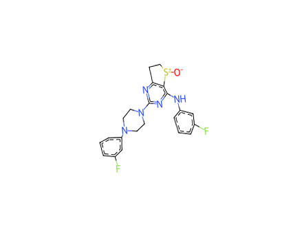 [O-][S+]1CCc2nc(N3CCN(c4cccc(F)c4)CC3)nc(Nc3cccc(F)c3)c21